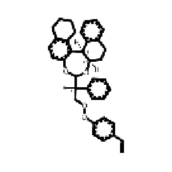 C=Cc1ccc(OOC[C@@](C)(c2ccccc2)C2Oc3ccc4c(c3[C@H]3c5ccccc5CC[C@H]3O2)CCCC4)cc1